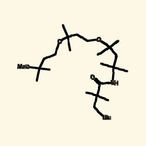 COC(C)(C)CCOC(C)(C)CCOC(C)(C)CC(C)(C)NC(=O)C(C)(C)CC(C)(C)C